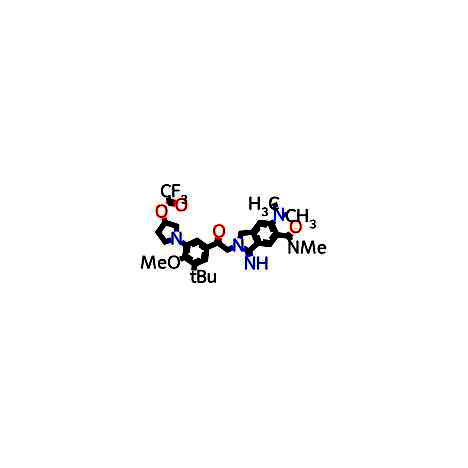 CNC(=O)c1cc2c(cc1N(C)C)CN(CC(=O)c1cc(N3CCC(OC(=O)C(F)(F)F)C3)c(OC)c(C(C)(C)C)c1)C2=N